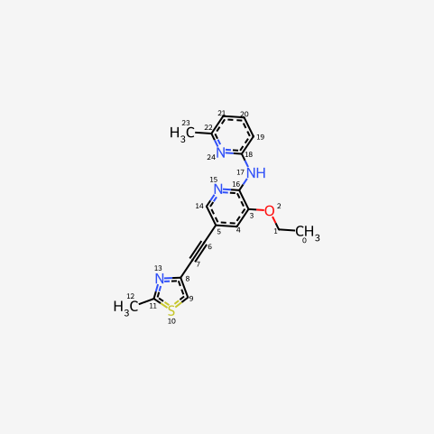 CCOc1cc(C#Cc2csc(C)n2)cnc1Nc1cccc(C)n1